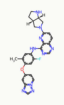 Cc1cc(Nc2ncnc3ccc(N4C[C@@H]5CCN[C@@H]5C4)nc23)c(F)cc1Oc1ccn2ncnc2c1